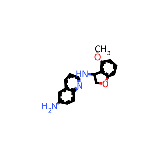 COc1cccc2c1C(Nc1ccc3cc(N)ccc3n1)CO2